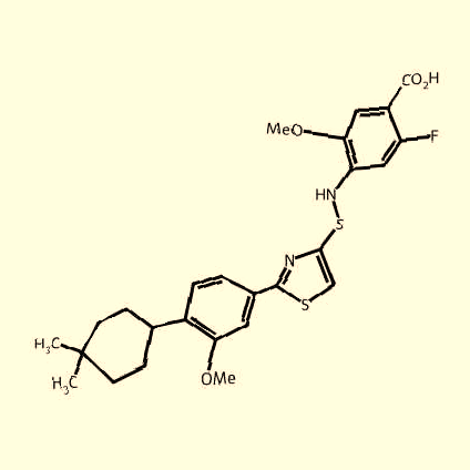 COc1cc(C(=O)O)c(F)cc1NSc1csc(-c2ccc(C3CCC(C)(C)CC3)c(OC)c2)n1